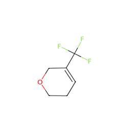 FC(F)(F)C1=CCCOC1